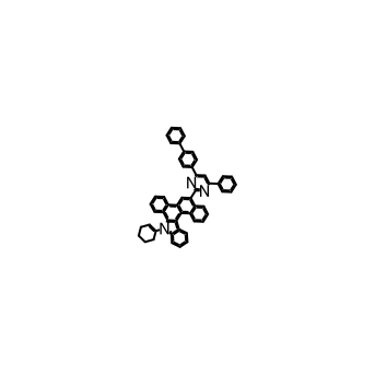 C1=C(n2c3ccccc3c3c4c5ccccc5c(-c5nc(-c6ccccc6)cc(-c6ccc(-c7ccccc7)cc6)n5)cc4c4ccccc4c32)CCCC1